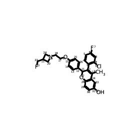 CC1=C(c2ccc(F)cc2Cl)C(c2ccc(OCCN3CC(CF)C3)cc2)Oc2ccc(O)cc21